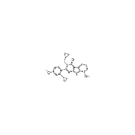 COc1ccc(-c2nc3sc4c(O)cccc4c3c(=O)n2CC2CC2)c(C2CC2)c1